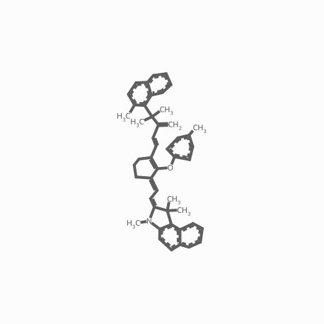 C=C(/C=C/C1=C(Oc2ccc(C)cc2)C(=C/C=C2/N(C)c3ccc4ccccc4c3C2(C)C)/CCC1)C(C)(C)c1c(C)ccc2ccccc12